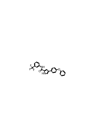 O=C(Nc1cccc(C(F)(F)F)c1)c1cc(-c2ccc(Oc3ccccc3)cc2)c[nH]1